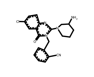 N#Cc1ccccc1Cn1c(N2CCCC(N)C2)nc2ccc(Cl)cc2c1=O